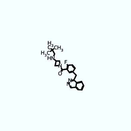 CC(C)(C)CNC1CN(C(=O)c2cc(Cc3nncc4ccccc34)ccc2F)C1